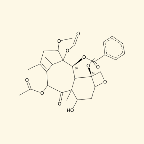 COC1CC(C)=C2C(OC(C)=O)C(=O)C3(C)C(O)CC4OC[C@@]4(OC)C3[C@H](OC(=O)c3ccccc3)C1(OC=O)C2C